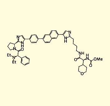 CCN(CC)[C@@H](C(=O)N1CCC[C@H]1c1ncc(-c2ccc(-c3ccc4cc(-c5cnc(CCCCNC(=O)[C@@H](NC(=O)OC)C6CCOCC6)[nH]5)ccc4c3)cc2)[nH]1)c1ccccc1